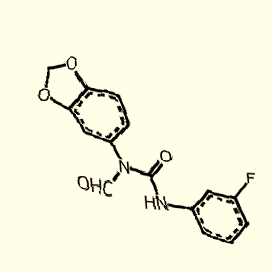 O=CN(C(=O)Nc1cccc(F)c1)c1ccc2c(c1)OCO2